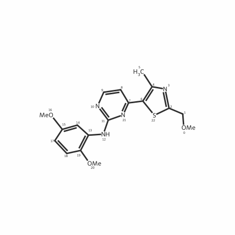 COCc1nc(C)c(-c2ccnc(Nc3cc(OC)ccc3OC)n2)s1